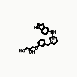 OC[C@@H](O)COc1cccc(CN2CCC[C@@H](Nc3ccc4[nH]ncc4c3)C2)c1